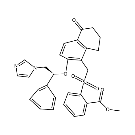 COC(=O)c1ccccc1S(=O)(=O)Cc1c(O[C@H](Cn2ccnc2)c2ccccc2)ccc2c1CCCC2=O